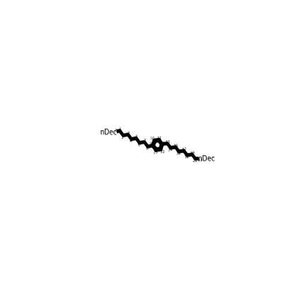 CCCCCCCCCCCCCCCCCCc1ccc(CCCCCCCCCCCCCCCCCC)cc1